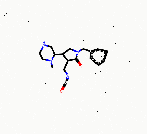 CN1CCNCC1C1CN(Cc2ccccc2)C(=O)C1CN=C=O